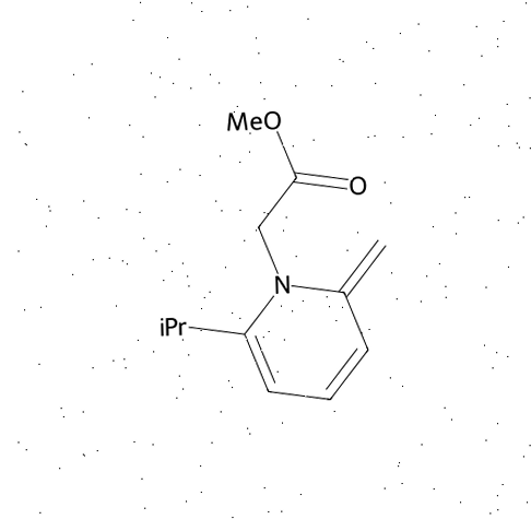 C=C1C=CC=C(C(C)C)N1CC(=O)OC